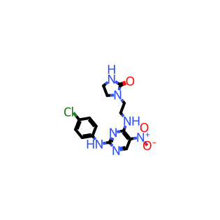 O=C1NCCN1CCNc1nc(Nc2ccc(Cl)cc2)ncc1[N+](=O)[O-]